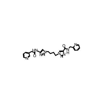 O=C(Cc1cccnc1)Nc1cn(CCCCn2cc(C(=O)NCc3ccccn3)nn2)nn1